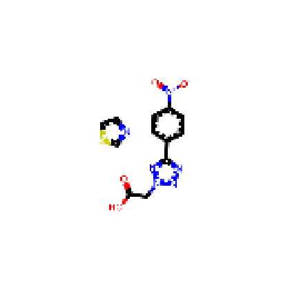 O=C(O)Cn1nnc(-c2ccc([N+](=O)[O-])cc2)n1.c1cscn1